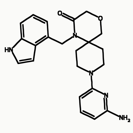 Nc1cccc(N2CCC3(CC2)COCC(=O)N3Cc2cccc3[nH]ccc23)n1